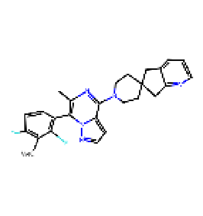 COc1c(F)ccc(-c2c(C)nc(N3CCC4(CC3)Cc3cccnc3C4)c3ccnn23)c1F